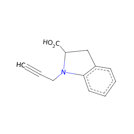 C#CCN1c2ccccc2CC1C(=O)O